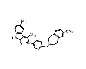 COc1ccc2c(c1)CCN(Cc1ccc(NC(C)=C3C(=O)Nc4ccc(N)cc43)cc1)CC2